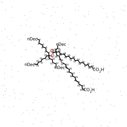 CCCCCCCCCCCCCCCCCC(CCCCCCCCCCCCCC)(CCCCCCCCCCCCCCCC)OC(=O)C(CCCCCCCCCCCC)(CCCCCCCCCCCCCCCCCC(=O)O)CCCCCCCCCCCCCCCC(=O)O